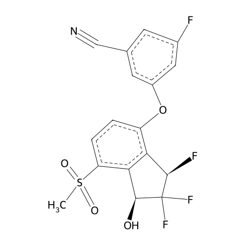 CS(=O)(=O)c1ccc(Oc2cc(F)cc(C#N)c2)c2c1[C@H](O)C(F)(F)[C@@H]2F